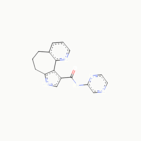 O=C(Nc1cnccn1)c1c[nH]c2c1-c1ncccc1CCC2